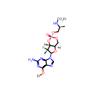 CCOC(=O)N[C@@H](C)CO[P@]1(=O)OC[C@H]2O[C@@H](n3cnc4c(OCC)nc(N)nc43)[C@](C)(F)[C@@H]2O1